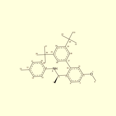 COc1ccc([C@@H](C)Nc2ccc(C)cc2)c(-c2cc(C(C)(C)C)cc(C(C)(C)C)c2)c1